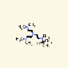 CCC(C)(C)N(C)CCN(CCN(C)C)CCN(C)C